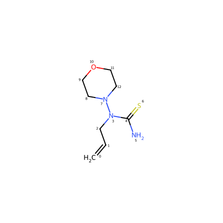 C=CCN(C(N)=S)N1CCOCC1